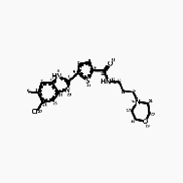 Cc1cc2[nH]c(-c3ccc(C(=O)NCCCN4CCOCC4)s3)nc2cc1Cl